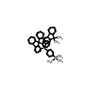 CC1(C)c2ccccc2-c2ccc(N(c3ccc(S(C)(C)C)cc3)c3cccc4c3C3(c5ccccc5-c5ccccc53)c3ccccc3-4)cc21